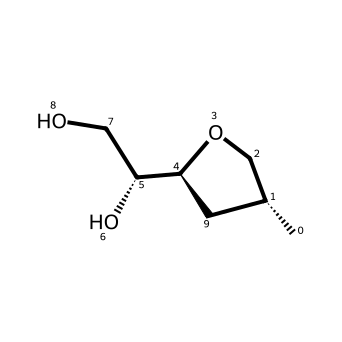 C[C@H]1CO[C@H]([C@H](O)CO)C1